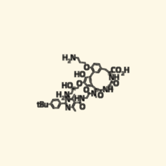 Cc1nc(-c2ccc(C(C)(C)C)cc2)nc(C)c1C(=O)NCC(=O)N(C)[C@@H]1C(=O)N[C@@H](C)C(=O)N[C@H](C(=O)O)Cc2ccc(OCCCN)c(c2)-c2cc1cc(OC[C@H](O)CN)c2O